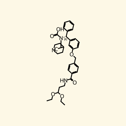 CCOC(CCNC(=O)c1ccc(COc2cccc([C@@H](c3ccccc3)N(C(=O)O)C3CN4CCC3CC4)c2)cc1)OCC